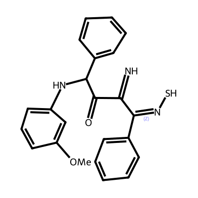 COc1cccc(NC(C(=O)C(=N)/C(=N\S)c2ccccc2)c2ccccc2)c1